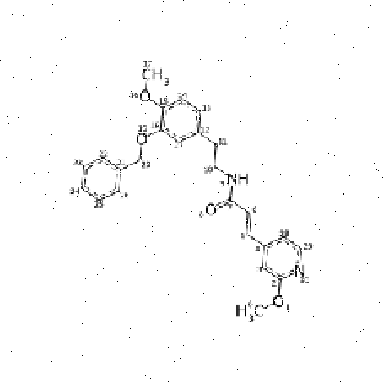 COc1cc(C=CC(=O)NCCc2ccc(OC)c(OCc3ccccc3)c2)ccn1